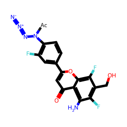 CC(=O)N(N=[N+]=[N-])c1ccc(-c2cc(=O)c3c(N)c(F)c(CO)c(F)c3o2)cc1F